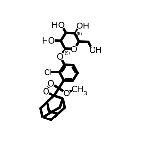 COC1(c2cccc(O[C@@H]3OC(CO)[C@H](O)C(O)C3O)c2Cl)OOC12C1CC3CC(C1)CC2C3